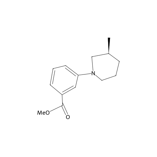 COC(=O)c1cccc(N2CCC[C@H](C)C2)c1